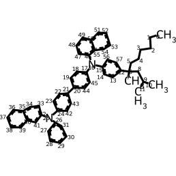 CCCCCCC(C)(CC(C)C)c1ccc(N(c2ccc(-c3ccc(N(c4ccccc4)c4ccc5ccccc5c4)cc3)cc2)c2cccc3ccccc23)cc1